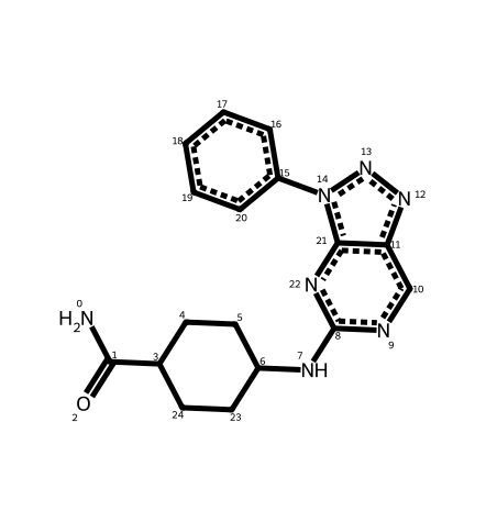 NC(=O)C1CCC(Nc2ncc3nnn(-c4ccccc4)c3n2)CC1